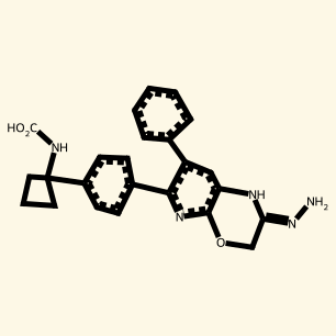 N/N=C1/COc2nc(-c3ccc(C4(NC(=O)O)CCC4)cc3)c(-c3ccccc3)cc2N1